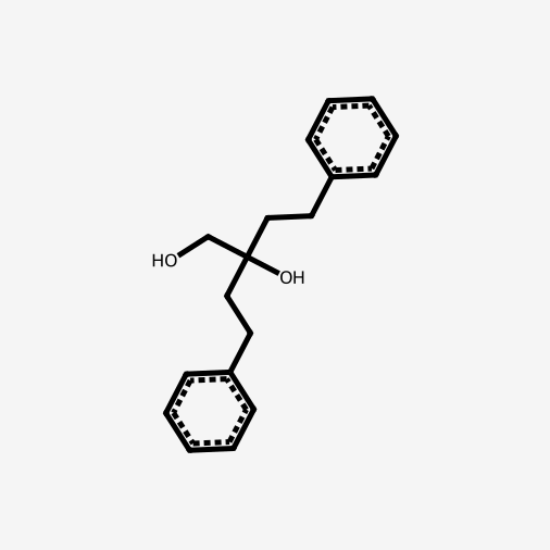 OCC(O)(CCc1ccccc1)CCc1ccccc1